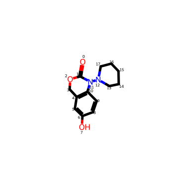 O=C1OCc2cc(O)ccc2N1N1CCCCC1